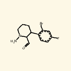 NN1CCCC(c2ccc(F)cc2Br)C1C=O